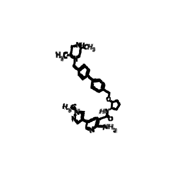 C[C@@H]1CN[C@@H](C)CN1Cc1ccc(-c2ccc(CO[C@H]3CCC[C@@H]3NC(=O)c3cc(-c4cnn(C)c4)cnc3N)cc2)cc1